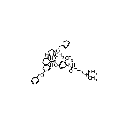 CN(C)CCCCC(=O)Nc1ccc(O[C@H]2C[C@]3(C)[C@@H](OCc4ccccc4)CC[C@H]3[C@@H]3CCc4cc(OCc5ccccc5)ccc4[C@H]32)cc1C(F)(F)F